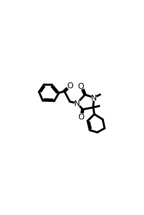 CN1C(=O)N(CC(=O)c2ccccc2)C(=O)C1(C)C1C=CCCC1